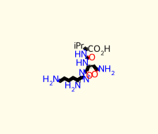 CC(C)C(NC(=O)N[C@@H](CC(N)=O)c1nc([C@@H](N)CCCCN)no1)C(=O)O